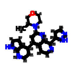 CC1COCCN1c1cc(-c2ccnc3[nH]ccc23)c2ccnc(-c3ccn[nH]3)c2n1